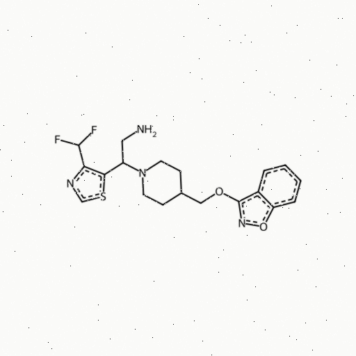 NCC(c1scnc1C(F)F)N1CCC(COc2noc3ccccc23)CC1